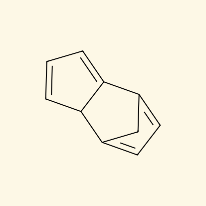 C1=CC2C3=CC=C(C3)C2=C1